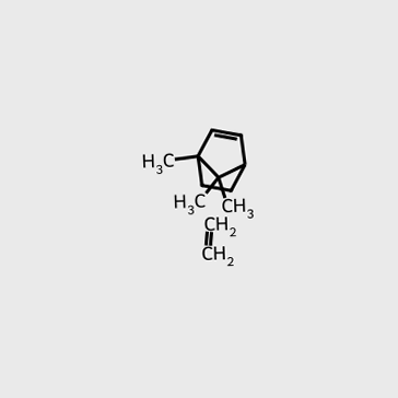 C=C.CC12C=CC(CC1)C2(C)C